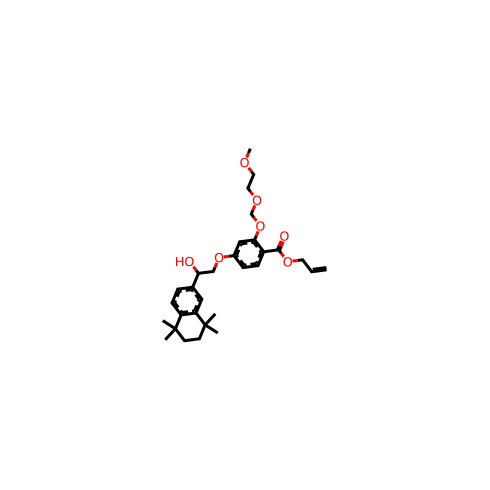 C=CCOC(=O)c1ccc(OCC(O)c2ccc3c(c2)C(C)(C)CCC3(C)C)cc1OCOCCOC